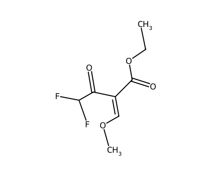 CCOC(=O)C(=COC)C(=O)C(F)F